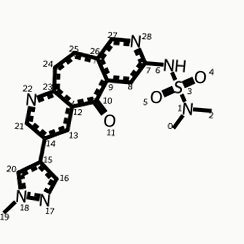 CN(C)S(=O)(=O)Nc1cc2c(=O)c3cc(-c4cnn(C)c4)cnc3ccc2cn1